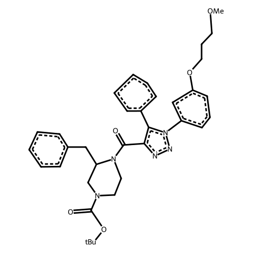 COCCCOc1cccc(-n2nnc(C(=O)N3CCN(C(=O)OC(C)(C)C)CC3Cc3ccccc3)c2-c2ccccc2)c1